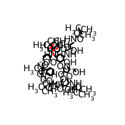 CN(C[C@@H]1C=C[C@@H](NC(=O)OC(C)(C)C)[C@@H](O[C@H]2[C@H](O[C@@H]3O[C@H](CO)[C@@H](O[C@H]4O[C@@H](CNC(=O)OC(C)(C)C)[C@@H](O)[C@H](O)[C@H]4NC(=O)OC(C)(C)C)[C@H]3O)[C@@H](O)[C@H](NC(=O)[C@@H](O)CCNC(=O)OC(C)(C)C)C[C@@H]2NC(=O)OC(C)(C)C)O1)S(=O)(=O)c1ccccc1[N+](=O)[O-]